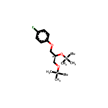 CC(C)(C)[Si](C)(C)OC[C@@H](COc1ccc(F)cc1)O[Si](C)(C)C(C)(C)C